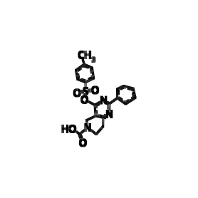 Cc1ccc(S(=O)(=O)Oc2nc(-c3ccccc3)nc3c2CN(C(=O)O)CC3)cc1